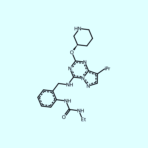 CCNC(=O)Nc1ccccc1CNc1nc(O[C@@H]2CCCNC2)nc2c(C(C)C)cnn12